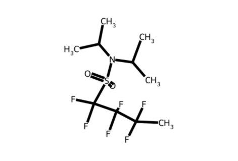 CC(C)N(C(C)C)S(=O)(=O)C(F)(F)C(F)(F)C(C)(F)F